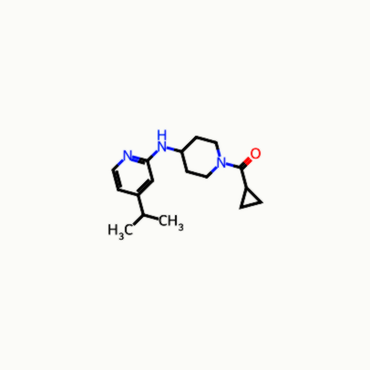 CC(C)c1ccnc(NC2CCN(C(=O)C3CC3)CC2)c1